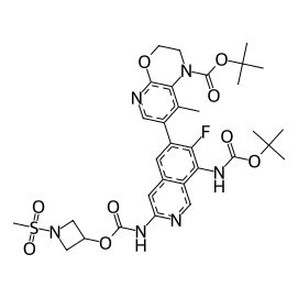 Cc1c(-c2cc3cc(NC(=O)OC4CN(S(C)(=O)=O)C4)ncc3c(NC(=O)OC(C)(C)C)c2F)cnc2c1N(C(=O)OC(C)(C)C)CCO2